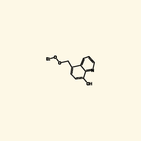 CCOOCc1ccc(O)c2ncccc12